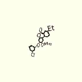 CCc1ccc2c(c1)c(=O)oc1cc(OCc3cccc(Cl)c3)c(OC)cc12